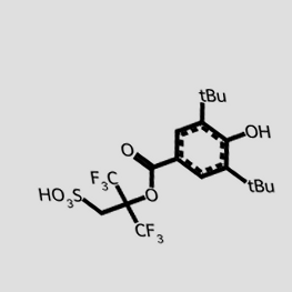 CC(C)(C)c1cc(C(=O)OC(CS(=O)(=O)O)(C(F)(F)F)C(F)(F)F)cc(C(C)(C)C)c1O